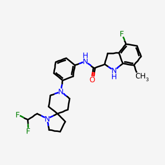 Cc1ccc(F)c2c1NC(C(=O)Nc1cccc(N3CCC4(CCCN4CC(F)F)CC3)c1)C2